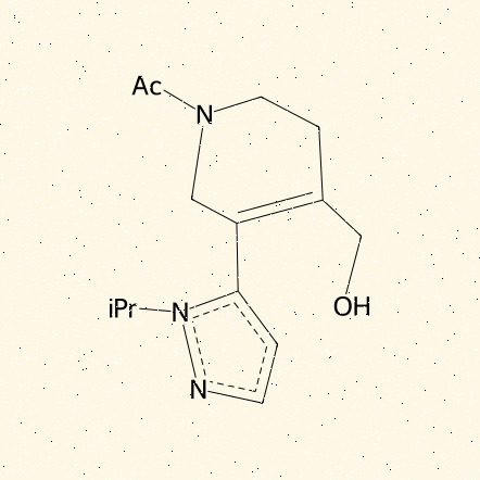 CC(=O)N1CCC(CO)=C(c2ccnn2C(C)C)C1